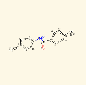 [CH2]c1ccc(NC(=O)c2ccc(C(F)(F)F)cc2)cc1